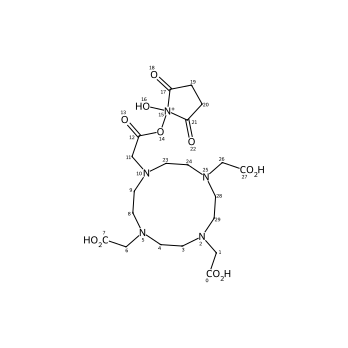 O=C(O)CN1CCN(CC(=O)O)CCN(CC(=O)O[N+]2(O)C(=O)CCC2=O)CCN(CC(=O)O)CC1